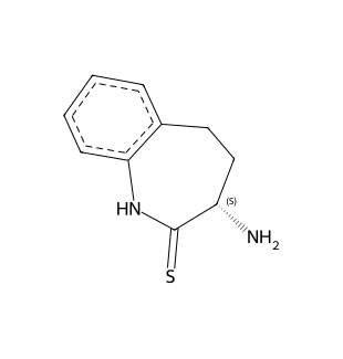 N[C@H]1CCc2ccccc2NC1=S